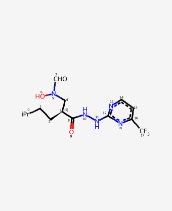 CC(C)CC[C@@H](CN(O)C=O)C(=O)NNc1nccc(C(F)(F)F)n1